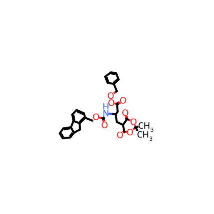 CC1(C)OC(=O)C(CC(CC(=O)OOCc2ccccc2)NC(=O)OCc2cccc3c2Cc2ccccc2-3)C(=O)O1